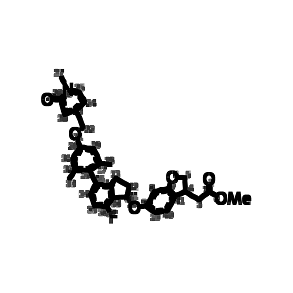 COC(=O)CC1COc2cc(O[C@@H]3CCc4c(-c5c(C)cc(OCc6ccn(C)c(=O)c6)cc5C)ccc(F)c43)ccc21